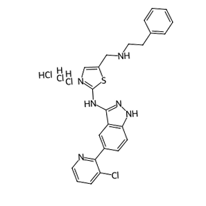 Cl.Cl.Cl.Clc1cccnc1-c1ccc2[nH]nc(Nc3ncc(CNCCc4ccccc4)s3)c2c1